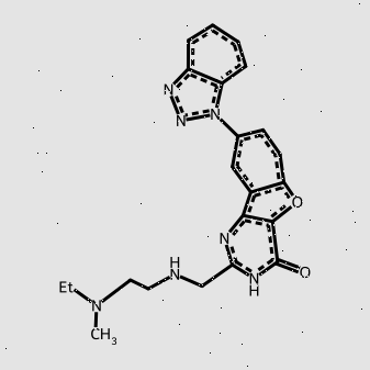 CCN(C)CCNCc1nc2c(oc3ccc(-n4nnc5ccccc54)cc32)c(=O)[nH]1